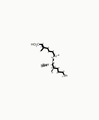 C/C(=C\C(=O)O)CCC[C@H](C)CCC[C@H](C)CCCC(C)C.[NaH].[NaH]